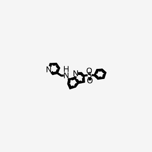 O=S(=O)(c1ccccc1)c1cnc2c(NCc3cccnc3)cccc2c1